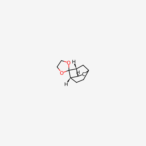 C1COC2(O1)[C@@H]1CC3CC[C@H]2[C@H]1C3